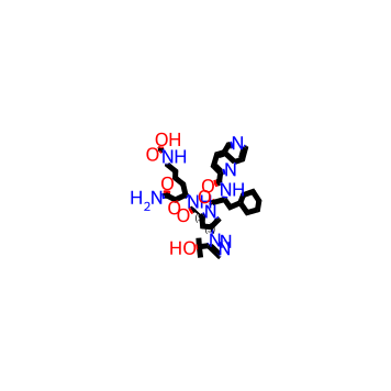 CC(C)(O)c1cnnn1[C@H]1C[C@@H](C(=O)NC(CCCCNC(=O)O)C(=O)C(N)=O)N(C(=O)C(CC2CCCCC2)NC(=O)c2ccc3cnccc3n2)C1